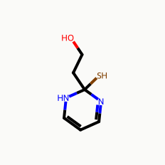 OCCC1(S)N=CC=CN1